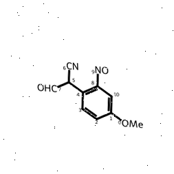 COc1ccc(C(C#N)C=O)c(N=O)c1